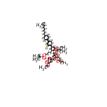 C=C(C)C(=O)OCCCc1cc(-c2ccc(-c3ccc(CCCCCCC)cc3)cc2F)cc(OC(=O)C(=C)C)c1OCC(CC)(COC(=O)CC(=O)OC)COC(=O)CC(=O)OC